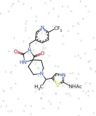 CC(=O)Nc1ncc(C(C)N2CCC3(CC2)NC(=O)N(Cc2ccc(C(F)(F)F)nc2)C3=O)s1